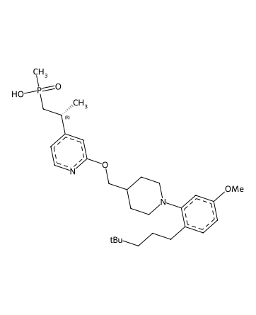 COc1ccc(CCCC(C)(C)C)c(N2CCC(COc3cc([C@@H](C)CP(C)(=O)O)ccn3)CC2)c1